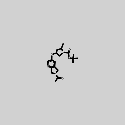 CC(=O)N1Cc2cc(OC3CC(C)N(C(=O)OC(C)(C)C)C3)cnc2C1